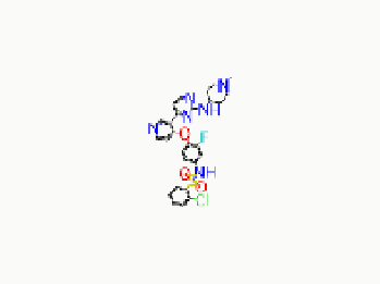 CN1CCC(Nc2nccc(-c3cnccc3Oc3ccc(NS(=O)(=O)c4ccccc4Cl)cc3F)n2)CC1